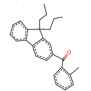 CCCC1(CCC)c2ccccc2-c2ccc(C(=O)c3ccccc3C)cc21